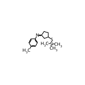 Cc1ccc(N=C2CCC(S[Si](C)(C)C)C2)cc1